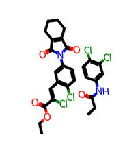 CCC(=O)Nc1ccc(Cl)c(Cl)c1.CCOC(=O)/C(Cl)=C/c1cc(N2C(=O)C3=C(CCCC3)C2=O)ccc1Cl